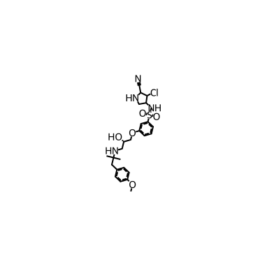 COc1ccc(CC(C)(C)NC[C@@H](O)COc2cccc(S(=O)(=O)NC3CNC(C#N)C3Cl)c2)cc1